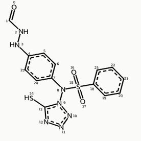 O=CNNc1ccc(N(n2nnnc2S)S(=O)(=O)c2ccccc2)cc1